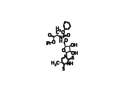 Cc1cn([C@H]2O[C@@H](CO[P@@](=O)(N[C@@H](C)C(=O)OC(C)C)Oc3ccccc3)C(O)[C@H]2O)c(=S)[nH]c1=S